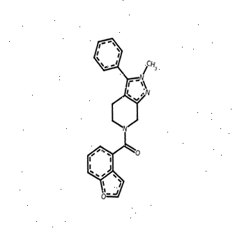 Cn1nc2c(c1-c1ccccc1)CCN(C(=O)c1cccc3occc13)C2